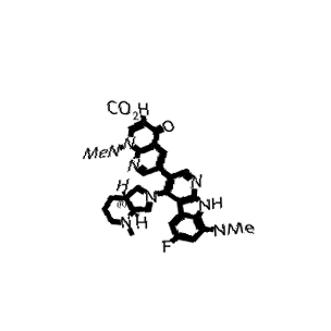 CNc1cc(F)cc2c1[nH]c1ncc(-c3cnc4c(c3)c(=O)c(C(=O)O)cn4NC)c(N3C[C@H]4CCCN(C)[C@H]4C3)c12